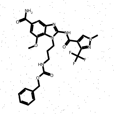 COc1cc(C(N)=O)cc2nc(NC(=O)c3cn(C)nc3C(F)(F)F)n(CCCNC(=O)OCc3ccccc3)c12